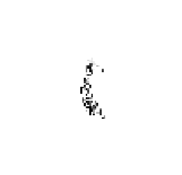 NC(=O)[C@@H]1CCCN1C(=O)c1ccc(-c2ccc(OCC3CCN(CC4(C(F)(F)F)CCC4)CC3)cc2F)cc1F